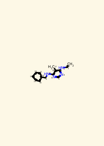 C=CNc1ncnc(NCc2ccccc2)c1C